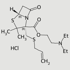 C=CCSC[C@@]1(C(=O)OCCN(CC)CC)N2C(=O)C[C@H]2SC1(C)C.Cl